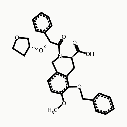 COc1ccc2c(c1OCc1ccccc1)C[C@H](C(=O)O)N(C(=O)[C@H](O[C@@H]1CCOC1)c1ccccc1)C2